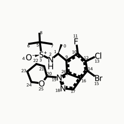 C[C@H](N[S@@+]([O-])C(C)(C)C)c1c(F)c(Cl)c(Br)c2cnn(C3CCCCO3)c12